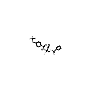 CC(C#N)(COC(=O)C1C=CC=C1)NC(=O)c1ccc(SC(F)(F)F)cc1